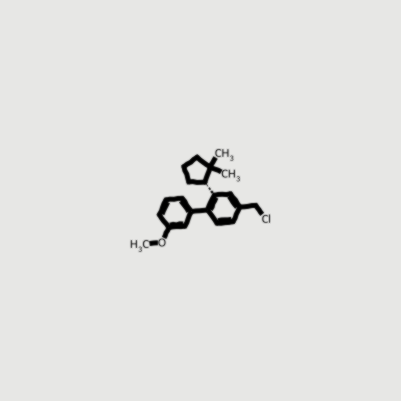 COc1cccc(-c2ccc(CCl)cc2[C@@H]2CCCC2(C)C)c1